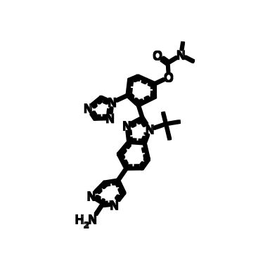 CN(C)C(=O)Oc1ccc(-n2cncn2)c(-c2nc3cc(-c4cnc(N)nc4)ccc3n2C(C)(C)C)c1